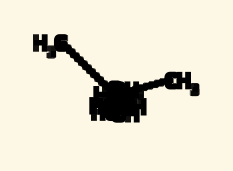 CCCCCCCCCCCCCCCCCCCCCCCCCC(=O)N[C@@H](COC1OC(CO)C(O)C(O)C1O)[C@H](O)[C@H](O)CCCCCCCCCCCCCCCCCC